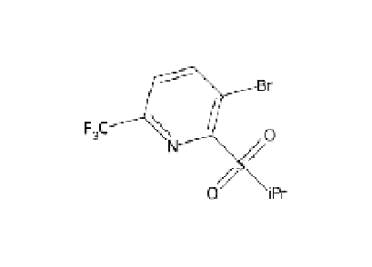 CC(C)S(=O)(=O)c1nc(C(F)(F)F)ccc1Br